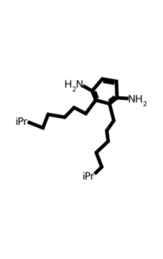 CC(C)CCCCCc1c(N)ccc(N)c1CCCCCC(C)C